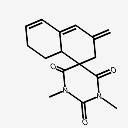 C=C1C=C2C=CCCC2C2(C1)C(=O)N(C)C(=O)N(C)C2=O